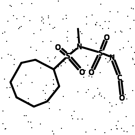 CN(S(=O)(=O)N=C=O)S(=O)(=O)C1CCCCCCC1